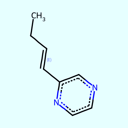 CC/C=C/c1cnccn1